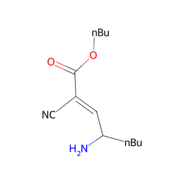 CCCCOC(=O)C(C#N)=CC(N)CCCC